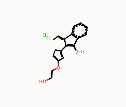 CC=C1C(C2=CC(OCCO)=CC2)=[C]([Zr+2])c2ccccc21.[Cl-].[Cl-]